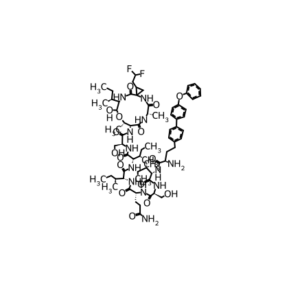 CC[C@H](C)[C@H](NC(=O)[C@H](N)CCc1ccc(-c2ccc(Oc3ccccc3)cc2)cc1)C(=O)N[C@@H](CO)C(=O)N[C@H](CCC(N)=O)C(=O)N[C@@H](C(=O)N[C@H](C(=O)N[C@@H](CO)C(=O)N[C@H]1C(=O)N[C@@H](C)C(=O)NC2(CC2CC(F)F)C(=O)N[C@@H]([C@@H](C)CC)C(O)O[C@H]1C)[C@@H](C)CC)[C@@H](C)CC